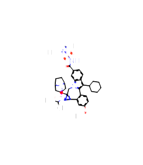 COc1ccc2c(c1)C1CC1(C(=O)N1C3CCC1CC(NC(C)C)C3)Cn1c-2c(C2CCCCC2)c2ccc(C(=O)NS(=O)(=O)N(C)C)cc21